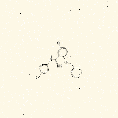 COc1ccc(OCc2ccccc2)c(C(=N)Nc2ccc(Br)cc2)c1